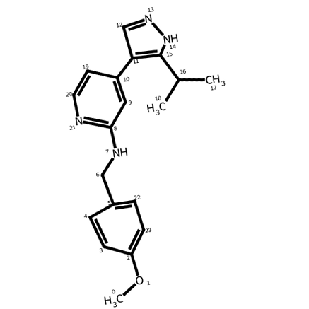 COc1ccc(CNc2cc(-c3cn[nH]c3C(C)C)ccn2)cc1